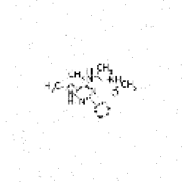 CC(=O)NCC(C)Nc1nc(-c2ccccc2)nc2[nH]c(C)c(C)c12